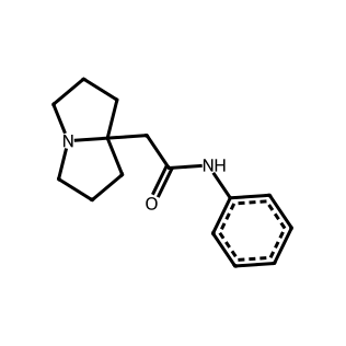 O=C(CC12CCCN1CCC2)Nc1ccccc1